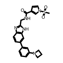 CS(=O)(=O)n1ccc(C(=O)NCc2nc3ccc(-c4cccc(N5CCC5)c4)cc3[nH]2)c1